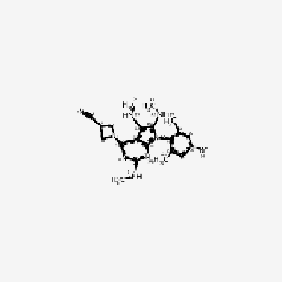 CNc1nc(N2CC(C#N)C2)c2c(NC)c(NC)n(-c3c(C)cc(Br)cc3C)c2n1